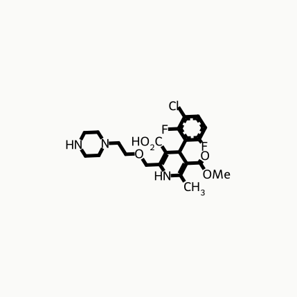 COC(=O)C1=C(C)NC(COCCN2CCNCC2)=C(C(=O)O)C1c1c(F)ccc(Cl)c1F